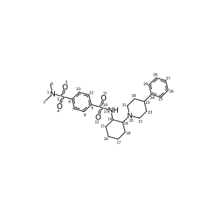 CN(C)S(=O)(=O)c1ccc(S(=O)(=O)NC2CCCCC2N2CCC(c3ccccc3)CC2)cc1